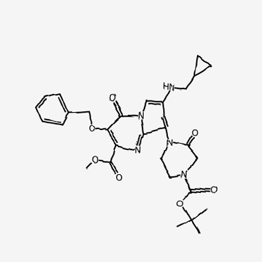 COC(=O)c1nc2c(N3CCN(C(=O)OC(C)(C)C)CC3=O)cc(NCC3CC3)cn2c(=O)c1OCc1ccccc1